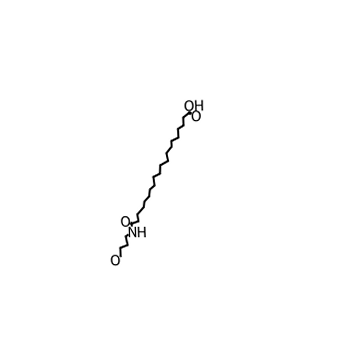 O=CCCCNC(=O)CCCCCCCCCCCCCCCCCCC(=O)O